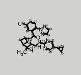 C[C@@H]1C2CC(C2)N(C(=O)c2cc(Cl)ccc2-n2nccn2)C1CNc1ncc(C2CC2)cn1